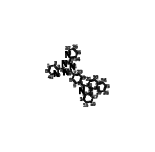 c1ccc(-c2nc(-c3ccc(-c4nc5ccccc5c5c4ccc4ccccc45)cc3)nc(-c3ccccn3)n2)nc1